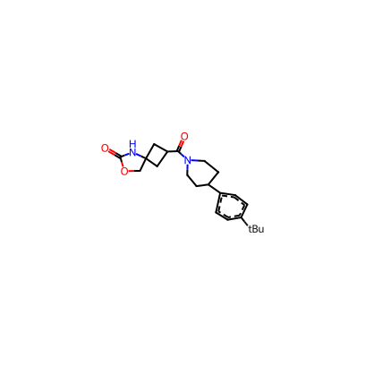 CC(C)(C)c1ccc(C2CCN(C(=O)C3CC4(COC(=O)N4)C3)CC2)cc1